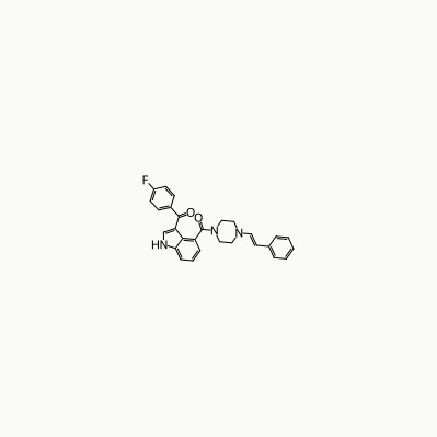 O=C(c1ccc(F)cc1)c1c[nH]c2cccc(C(=O)N3CCN(C=Cc4ccccc4)CC3)c12